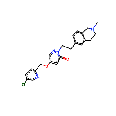 CN1CCc2cc(CCn3ncc(OCc4ccc(Cl)cn4)cc3=O)ccc2C1